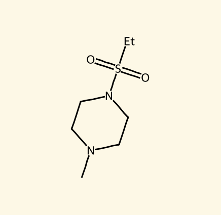 CCS(=O)(=O)N1CCN(C)CC1